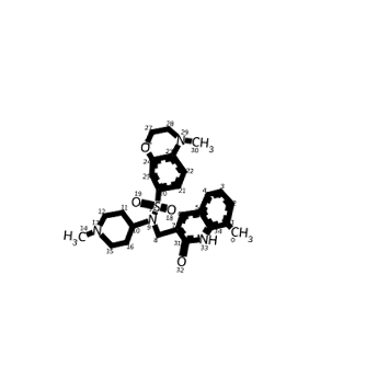 Cc1cccc2cc(CN(C3CCN(C)CC3)S(=O)(=O)c3ccc4c(c3)OCCN4C)c(=O)[nH]c12